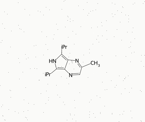 Cc1cnc2c(C(C)C)[nH]c(C(C)C)c2n1